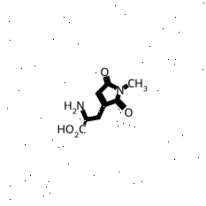 CN1C(=O)C=C(C[C@H](N)C(=O)O)C1=O